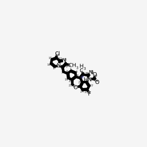 C/C(=C1\c2ccc(Cc3c(C)nc4c(Cl)cccn34)cc2COc2cc(F)ccc21)c1noc(=O)[nH]1